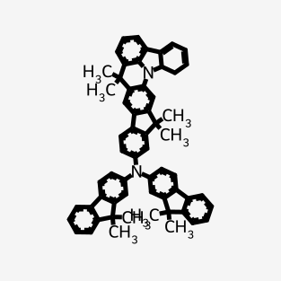 CC1(C)c2ccccc2-c2ccc(N(c3ccc4c(c3)C(C)(C)c3ccccc3-4)c3ccc4c(c3)C(C)(C)c3cc5c(cc3-4)C(C)(C)c3cccc4c3N5C3CC=CC=C43)cc21